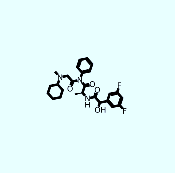 C[C@H](NC(=O)C(O)c1cc(F)cc(F)c1)C(=O)N(C(=O)CN(C)C1CCCCC1)c1ccccc1